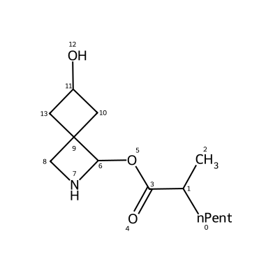 CCCCCC(C)C(=O)OC1NCC12CC(O)C2